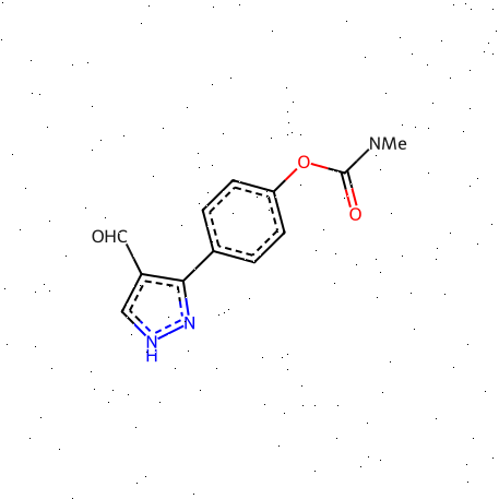 CNC(=O)Oc1ccc(-c2n[nH]cc2C=O)cc1